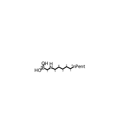 CCCCCCCCCCNCB(O)O